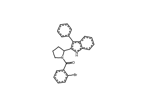 O=C(c1ccccc1Br)N1CCCC1c1[nH]c2ccccc2c1-c1ccccc1